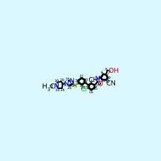 Cc1c(-c2nc3cc(CO)cc(C#N)c3o2)cccc1-c1cccc(Sc2cn(C3CCN(C)CC3)cn2)c1Cl